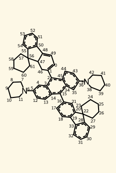 C1=C(c2c3cc(N4CCCCC4)ccc3c(-c3ccc4c(c3)C3(CCCCC3)c3ccccc3-4)c3cc(N4CCCCC4)ccc23)CC2C(=C1)c1ccccc1C21CCCCC1